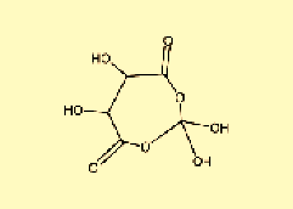 O=C1OC(O)(O)OC(=O)C(O)C1O